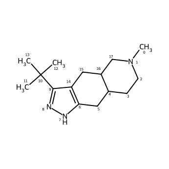 CN1CCC2Cc3[nH]nc(C(C)(C)C)c3CC2C1